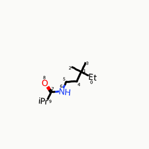 CCC(C)(C)CCNC(=O)C(C)C